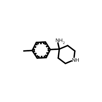 Cc1ccc(C2(N)CCNCC2)cc1